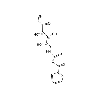 O=C(NC[C@H](O)[C@@H](O)[C@H](O)C(=O)CO)OC(=O)c1ccccc1